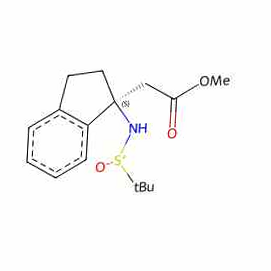 COC(=O)C[C@@]1(N[S+]([O-])C(C)(C)C)CCc2ccccc21